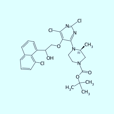 C[C@H]1CN(C(=O)OC(C)(C)C)CCN1c1nc(Cl)nc(Cl)c1OCC(O)c1cccc2cccc(Cl)c12